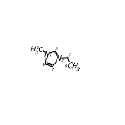 CCN1[CH]N(C)C=C1